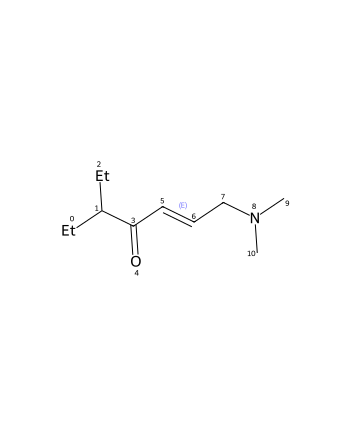 CCC(CC)C(=O)/C=C/CN(C)C